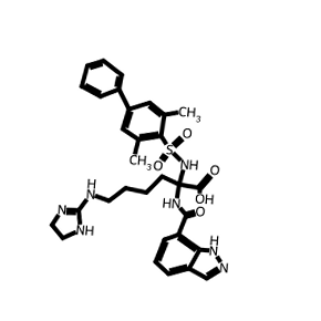 Cc1cc(-c2ccccc2)cc(C)c1S(=O)(=O)NC(CCCCNC1=NCCN1)(NC(=O)c1cccc2cn[nH]c12)C(=O)O